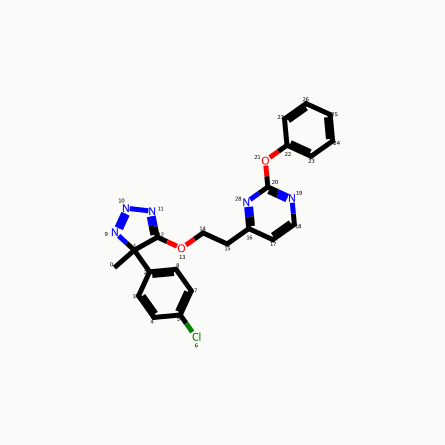 CC1(c2ccc(Cl)cc2)N=NN=C1OCCc1ccnc(Oc2ccccc2)n1